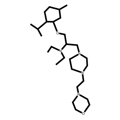 CCN(CC)C(COC1CC(C)CCC1C(C)C)CN1CCN(CCN2CCOCC2)CC1